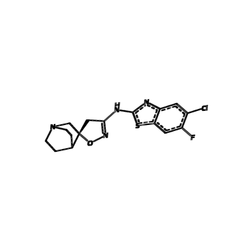 Fc1cc2sc(NC3=NO[C@@]4(C3)CN3CCC4CC3)nc2cc1Cl